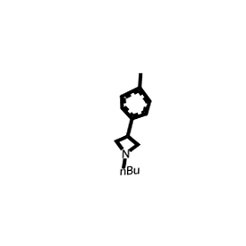 CCCCN1CC(c2ccc(C)cc2)C1